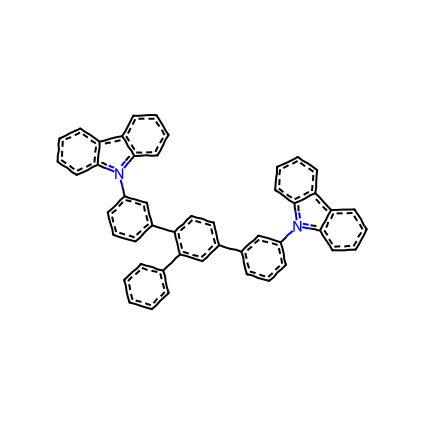 c1ccc(-c2cc(-c3cccc(-n4c5ccccc5c5ccccc54)c3)ccc2-c2cccc(-n3c4ccccc4c4ccccc43)c2)cc1